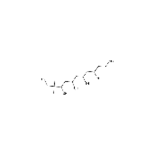 CC(C)(C)CCC(O)CC(S)CC(O)CC(S)C(C)(C)CS